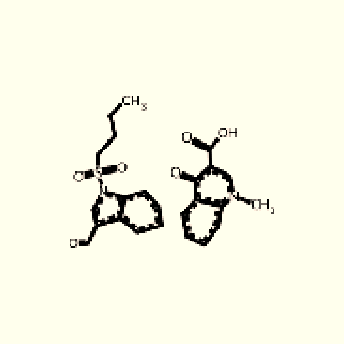 CCCCS(=O)(=O)n1cc(C=O)c2ccccc21.Cn1cc(C(=O)O)c(=O)c2ccccc21